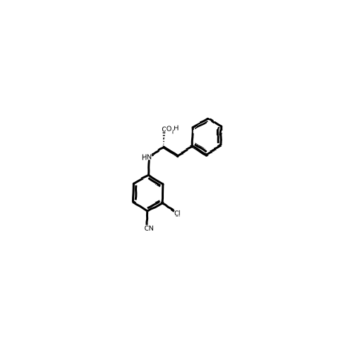 N#Cc1ccc(N[C@@H](Cc2ccccc2)C(=O)O)cc1Cl